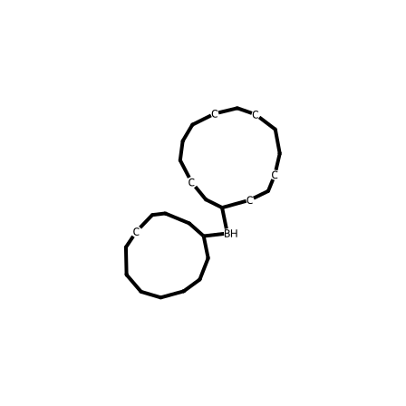 B(C1CCCCCCCCCCCCC1)C1CCCCCCCCCCC1